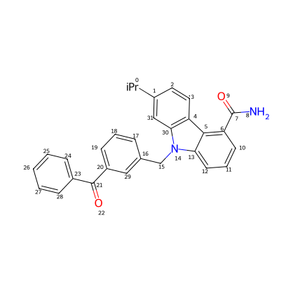 CC(C)c1c[c]c2c3c(C(N)=O)cccc3n(Cc3cccc(C(=O)c4ccccc4)c3)c2c1